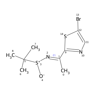 C/C(=N\[S+]([O-])C(C)(C)C)c1ncc(Br)s1